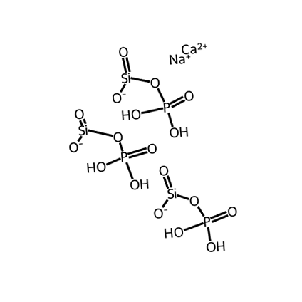 O=[Si]([O-])OP(=O)(O)O.O=[Si]([O-])OP(=O)(O)O.O=[Si]([O-])OP(=O)(O)O.[Ca+2].[Na+]